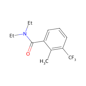 CCN(CC)C(=O)c1cccc(C(F)(F)F)c1C